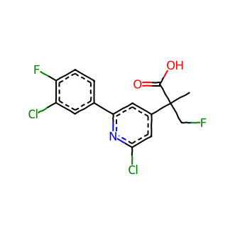 CC(CF)(C(=O)O)c1cc(Cl)nc(-c2ccc(F)c(Cl)c2)c1